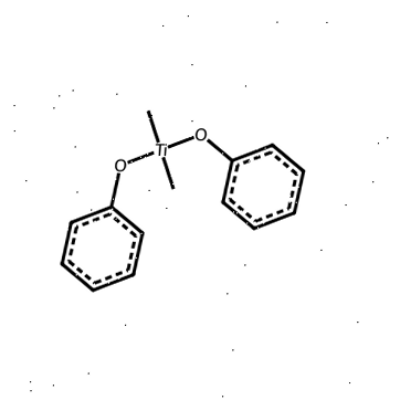 [CH3][Ti]([CH3])([O]c1ccccc1)[O]c1ccccc1